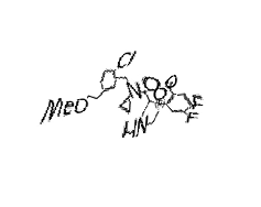 COCCc1ccc(Cl)c(CN(C(=O)C2CNCC[C@@]23OC(=O)c2cc(F)c(F)cc23)C2CC2)c1